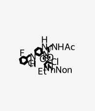 CCCCCCCCCN1C(Cl)C(S(=O)(=O)N2C[C@H](CNC(C)=O)Nc3ccc(NCc4c(F)cccc4Cl)cc32)CN1CC